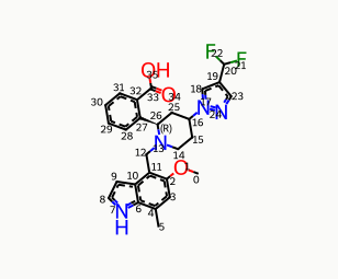 COc1cc(C)c2[nH]ccc2c1CN1CCC(n2cc(C(F)F)cn2)C[C@@H]1c1ccccc1C(=O)O